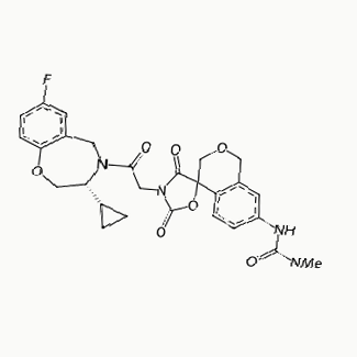 CNC(=O)Nc1ccc2c(c1)COCC21OC(=O)N(CC(=O)N2Cc3cc(F)ccc3OC[C@H]2C2CC2)C1=O